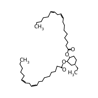 CCCCC/C=C\C/C=C\CCCCCCCC(=O)O[C@H]1CC[C@@H](CC)C[C@H]1OC(=O)CCCCCCC/C=C\C/C=C\CCCCC